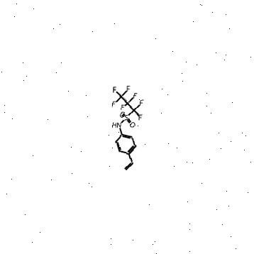 C=Cc1ccc(NS(=O)(=O)C(F)(F)C(F)(F)C(F)(F)F)cc1